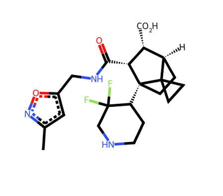 Cc1cc(CNC(=O)[C@@H]2[C@H](C(=O)O)[C@H]3CC[C@]2(C2CCNCC2(F)F)C32CC2)on1